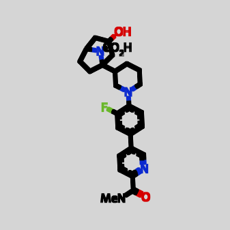 CNC(=O)c1ccc(-c2ccc(N3CCCC(C45CCC(CC(O)C4)N5C(=O)O)C3)c(F)c2)cn1